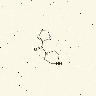 O=C(C1=NCCS1)N1CCNCC1